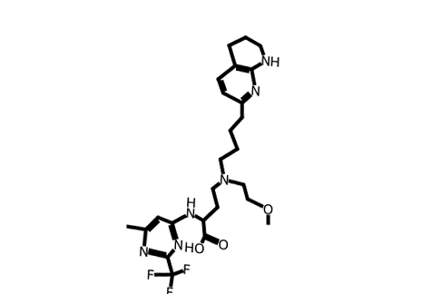 COCCN(CCCCc1ccc2c(n1)NCCC2)CCC(Nc1cc(C)nc(C(F)(F)F)n1)C(=O)O